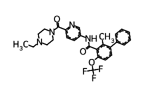 CCN1CCN(C(=O)c2ccc(NC(=O)c3c(OC(F)(F)F)ccc(-c4ccccc4)c3C)cn2)CC1